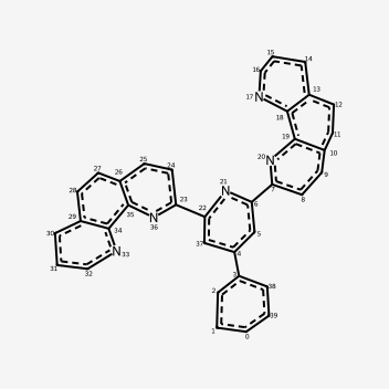 c1ccc(-c2cc(-c3ccc4ccc5cccnc5c4n3)nc(-c3ccc4ccc5cccnc5c4n3)c2)cc1